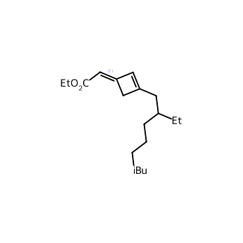 CCOC(=O)/C=C1/C=C(CC(CC)CCCC(C)CC)C1